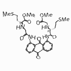 COC(=O)CN[C@H](CCSC)C(=O)Nc1cccc2c1C(=O)c1c(NC(=O)CN[C@H](CCSC)C(=O)OC)cccc1C2=O